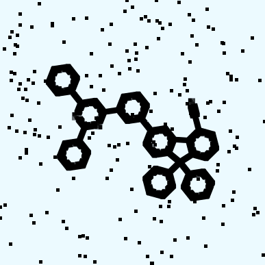 N#Cc1cccc2c1-c1cc(-c3cccc(-c4cc(-c5ccccc5)nc(-c5ccccc5)n4)c3)ccc1C2(c1ccccc1)c1ccccc1